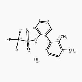 Cc1cccc(-c2ccccc2OS(=O)(=O)C(F)(F)F)c1C.I